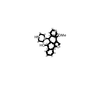 COC(=O)c1coc2c1c(C(c1ccncc1)N1CCNCC1)c(O)c1ccccc12